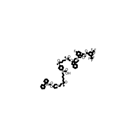 CN(CCN1CCC(OC(=O)Nc2ccccc2-c2ccccc2)CC1)C(=O)CCCCCN(C(=O)O)c1ccc(N(C)C(=O)CCCN(C)C(=O)CO[C@H]2Cc3ccccc3C23CCN(CC[C@@]2(c4ccc(F)cc4)CN(C(=O)c4cc(C(F)(F)F)cc(C(F)(F)F)c4)CO2)CC3)cc1